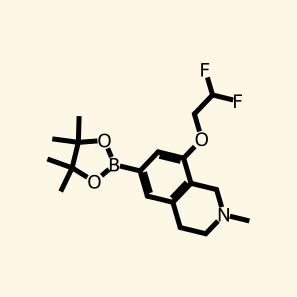 CN1CCc2cc(B3OC(C)(C)C(C)(C)O3)cc(OCC(F)F)c2C1